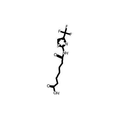 O=C(O)CCCCCC(=O)Nc1nc(C(F)(F)F)cs1